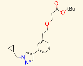 CC(C)(C)OC(=O)CCOCCc1cccc(-c2cnn(CC3CC3)c2)c1